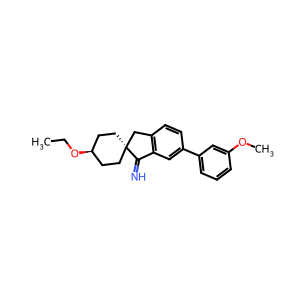 CCO[C@H]1CC[C@]2(CC1)Cc1ccc(-c3cccc(OC)c3)cc1C2=N